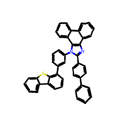 c1ccc(-c2ccc(-c3nc4c5ccccc5c5ccccc5c4n3-c3cccc(-c4cccc5c4sc4ccccc45)c3)cc2)cc1